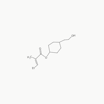 CCC=C(C)C(=O)OC1CCC(CCO)CC1